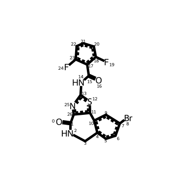 O=C1NCc2ccc(Br)cc2-c2sc(NC(=O)c3c(F)cccc3F)nc21